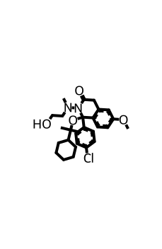 COc1ccc2c(c1)CC(=O)N(N(C)CCO)C2(OC(C)(C)C1CCCCC1)c1ccc(Cl)cc1